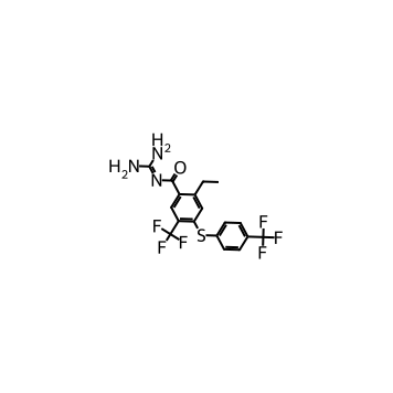 CCc1cc(Sc2ccc(C(F)(F)F)cc2)c(C(F)(F)F)cc1C(=O)N=C(N)N